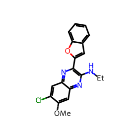 CCNc1nc2cc(OC)c(Cl)cc2nc1-c1cc2ccccc2o1